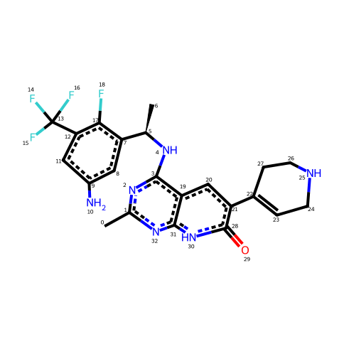 Cc1nc(N[C@H](C)c2cc(N)cc(C(F)(F)F)c2F)c2cc(C3=CCNCC3)c(=O)[nH]c2n1